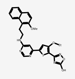 CCOc1cc(-c2cc(NCCc3c(OC)ccc4ccccc34)ncn2)sc1-c1noc(O)n1